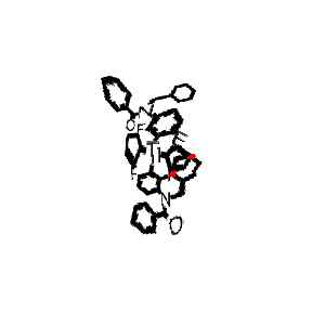 O=C(c1ccccc1)N(CC1CCCCC1)c1ccc(F)[c]([Ti]([c]2c(F)ccc(N(CC3CCCCC3)C(=O)c3ccccc3)c2F)([CH]2C=CC=C2)[CH]2C=CC=C2)c1F